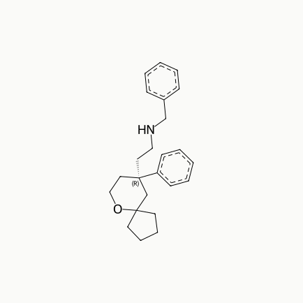 c1ccc(CNCC[C@@]2(c3ccccc3)CCOC3(CCCC3)C2)cc1